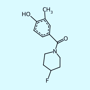 Cc1cc(C(=O)N2CCC(F)CC2)ccc1O